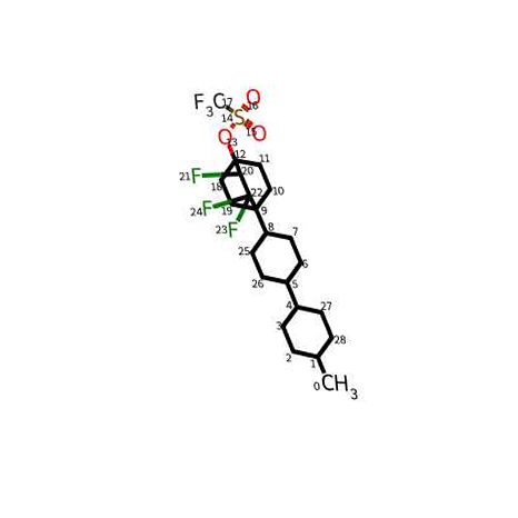 CC1CCC(C2CCC(C34CCC(OS(=O)(=O)C(F)(F)F)(CC3)C(F)C4(F)F)CC2)CC1